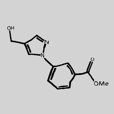 COC(=O)c1cccc(-n2cc(CO)cn2)c1